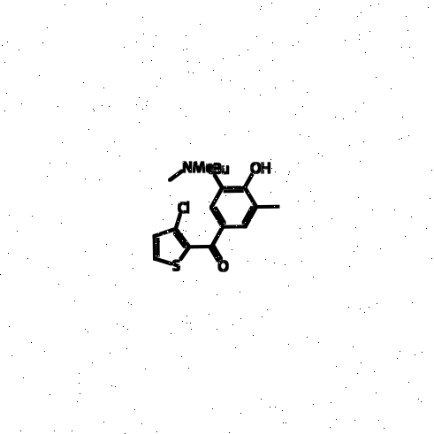 CNC.Cc1cc(C(=O)c2sccc2Cl)cc(C(C)(C)C)c1O